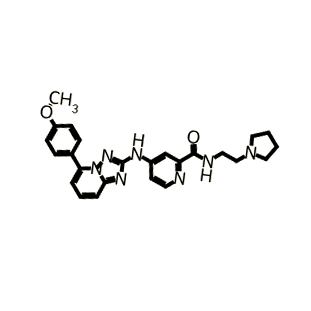 COc1ccc(-c2cccc3nc(Nc4ccnc(C(=O)NCCN5CCCC5)c4)nn23)cc1